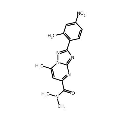 Cc1cc([N+](=O)[O-])ccc1-c1nc2nc(C(=O)N(C)C)cc(C)n2n1